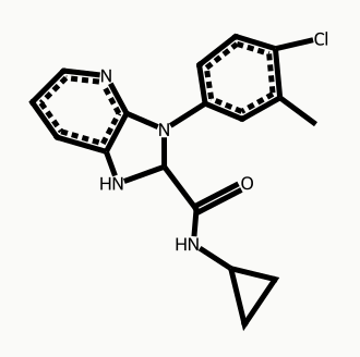 Cc1cc(N2c3ncccc3NC2C(=O)NC2CC2)ccc1Cl